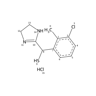 Cc1c(Cl)cccc1C(S)C1=NCCN1.Cl